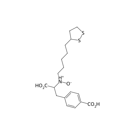 O=C(O)c1ccc(CC(C(=O)O)[NH+]([O-])CCCCCC2CCSS2)cc1